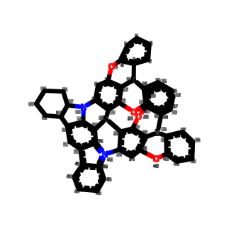 c1ccc2c(c1)Oc1cc3c(c4c1B2c1ccccc1O4)B1c2c(cc4c5c2Oc2ccccc2B5c2ccccc2O4)-n2c4ccccc4c4cc5c(c1c42)N3C1CCCCC51